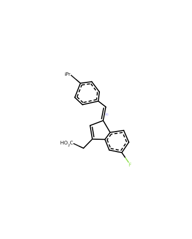 CC(C)c1ccc(/C=C2\C=C(CC(=O)O)c3cc(F)ccc32)cc1